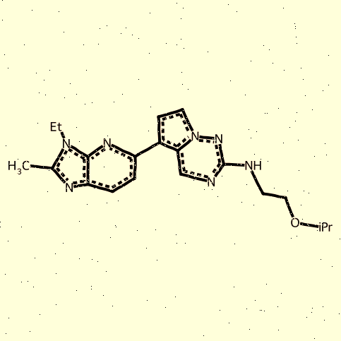 CCn1c(C)nc2ccc(-c3ccn4nc(NCCOC(C)C)ncc34)nc21